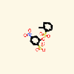 Cc1ccccc1S(=O)(=O)Oc1cc([N+](=O)[O-])ccc1S([O])(=O)=O